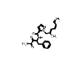 C=C/C=C\C=C(/C)Cn1nccc1C(=O)NC(Cc1ccccc1)C(=O)C(N)=O